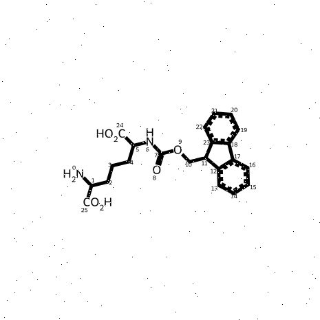 NC(CCCC(NC(=O)OCC1c2ccccc2-c2ccccc21)C(=O)O)C(=O)O